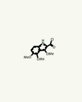 COc1ccc2[nH]c(C(=O)Cl)c(OC)c2c1OC